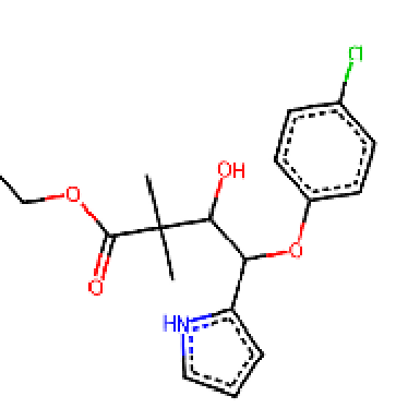 CCOC(=O)C(C)(C)C(O)C(Oc1ccc(Cl)cc1)c1ccc[nH]1